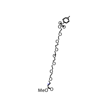 COC(=O)/C=C/COCCOCCOCCOCCOCCOCCOCCOS(=O)(=O)c1ccc(C)cc1